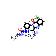 CC(NC(=O)O)c1nc2cccc(Cl)c2c(=O)n1-c1cccc(NC(=O)NCC(F)(F)F)c1